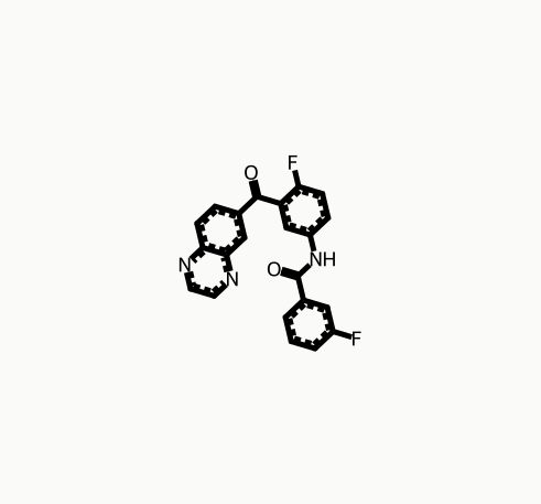 O=C(Nc1ccc(F)c(C(=O)c2ccc3nccnc3c2)c1)c1cccc(F)c1